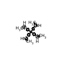 CN1CNCN(c2ccc(C3C(c4ccc(N5CNCN(C)C5)cc4)C(c4ccc(N5CNCN(C)C5)cc4)C3c3ccc(N4CNCN(C)C4)cc3)cc2)C1